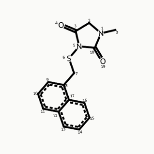 CN1CC(=O)N(SCc2cccc3ccccc23)C1=O